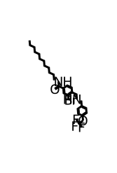 CCCCCCCCCCCCNC(=O)c1ccc(CNCc2ccc(OC(F)(F)F)cc2)c(Br)c1